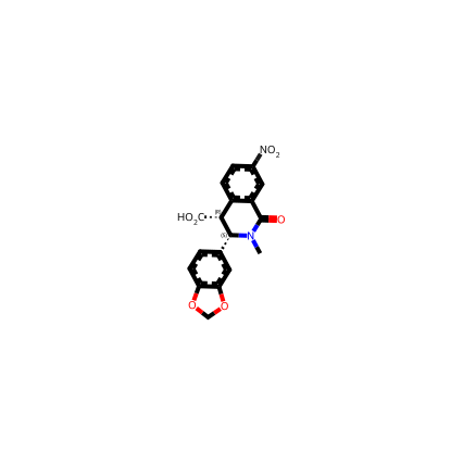 CN1C(=O)c2cc([N+](=O)[O-])ccc2[C@@H](C(=O)O)[C@H]1c1ccc2c(c1)OCO2